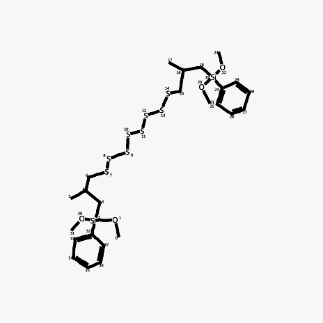 CO[Si](CC(C)CSSSSSSSSCC(C)C[Si](OC)(OC)c1ccccc1)(OC)c1ccccc1